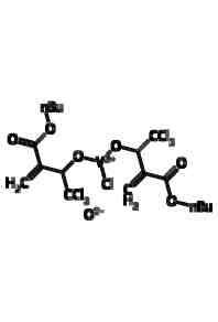 C=C(C(=O)OCCCC)C([O][V+2]([Cl])[O]C(C(=C)C(=O)OCCCC)C(Cl)(Cl)Cl)C(Cl)(Cl)Cl.[O-2]